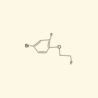 FCCOc1ccc(Br)cc1F